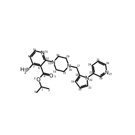 CC(C)OC(=O)c1c(P)ccnc1N1CCN(Cc2cccn2-c2cccnc2)CC1